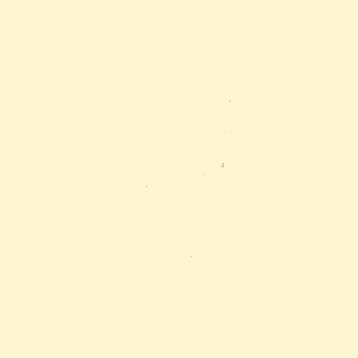 Cc1cccc(C)c1-n1cc(-c2nc(C3(N(C)C)CC3)[nH]c2-c2ccc(F)cc2F)ccc1=O